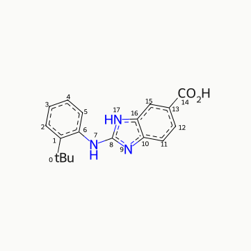 CC(C)(C)c1ccccc1Nc1nc2ccc(C(=O)O)cc2[nH]1